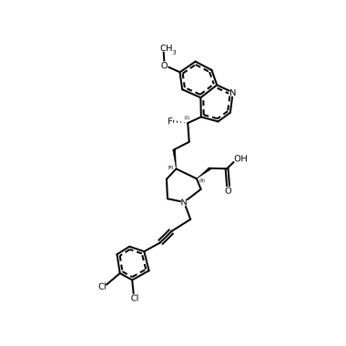 COc1ccc2nccc([C@@H](F)CC[C@@H]3CCN(CC#Cc4ccc(Cl)c(Cl)c4)C[C@@H]3CC(=O)O)c2c1